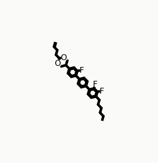 C=CCCC1OCC(c2ccc(-c3ccc(-c4ccc(CCCCCC)c(F)c4F)cc3)c(F)c2)CO1